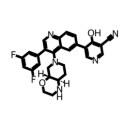 N#Cc1cncc(-c2ccc3ncc(-c4cc(F)cc(F)c4)c(N4CC[C@H]5NCCO[C@@H]5C4)c3c2)c1O